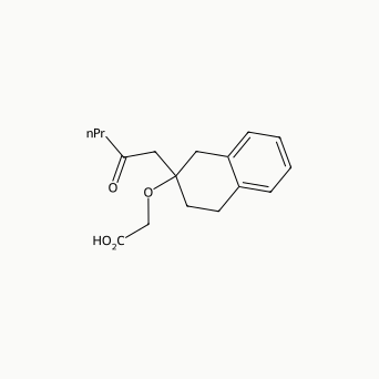 CCCC(=O)CC1(OCC(=O)O)CCc2ccccc2C1